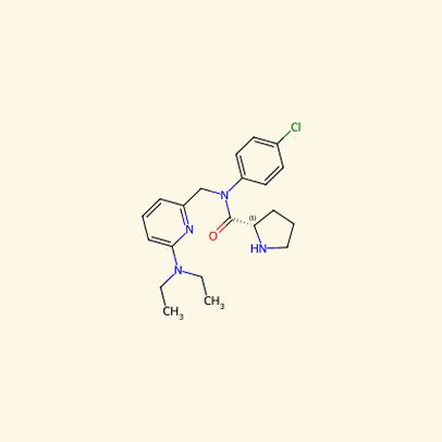 CCN(CC)c1cccc(CN(C(=O)[C@@H]2CCCN2)c2ccc(Cl)cc2)n1